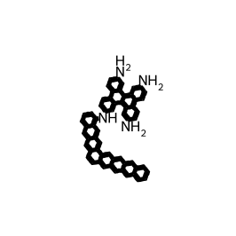 Nc1ccc2c3ccc(N)cc3c3c4cc(Nc5cccc6cc7cc8ccc9cc%10cc%11cc%12ccccc%12cc%11cc%10cc9c8cc7cc56)ccc4c4ccc(N)cc4c3c2c1